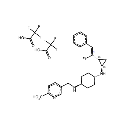 CC/C(=C\c1ccccc1)[C@@H]1C[C@H]1N[C@H]1CC[C@H](NCc2ccc(C(=O)O)nc2)CC1.O=C(O)C(F)(F)F.O=C(O)C(F)(F)F